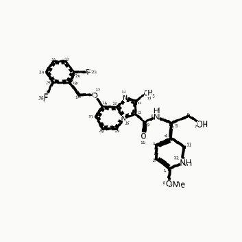 COC1=CC=C(C(CO)NC(=O)c2c(C)nc3c(OCc4c(F)cccc4F)cccn23)CN1